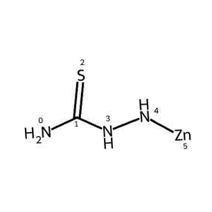 NC(=S)N[NH][Zn]